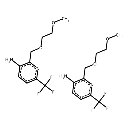 COCCOCc1nc(C(F)(F)F)ccc1N.COCCOCc1nc(C(F)(F)F)ccc1N